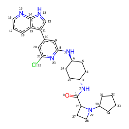 O=C(N[C@H]1CC[C@H](Nc2cc(-c3c[nH]c4ncccc34)cc(Cl)n2)CC1)C1CCN1C1CCCC1